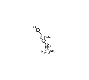 CCS(=O)(=O)N(CCc1ccc(OCC#Cc2ccc(Cl)cc2)c(OC)c1)CC(C)CC(N)=O